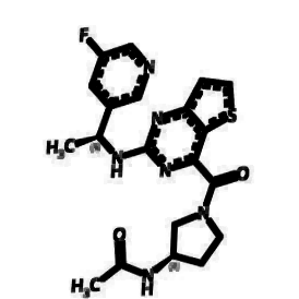 CC(=O)N[C@@H]1CCN(C(=O)c2nc(N[C@@H](C)c3cncc(F)c3)nc3ccsc23)C1